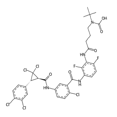 CC(C)(C)N(CCCC(=O)Nc1c(F)ccc(NC(=O)c2cc(NC(=O)[C@H]3[C@H](c4ccc(Cl)c(Cl)c4)C3(Cl)Cl)ccc2Cl)c1F)C(=O)O